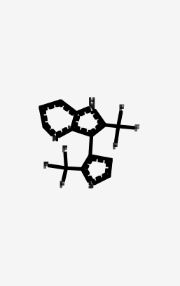 FC(F)(F)c1[nH]c2cccnc2c1-c1ccsc1C(F)(F)F